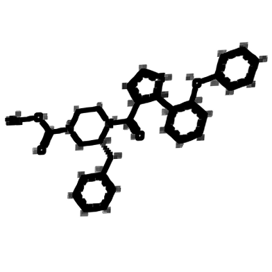 CC(C)(C)OC(=O)N1CCN(C(=O)c2ccsc2-c2ccccc2Oc2ccccc2)[C@H](Cc2ccccc2)C1